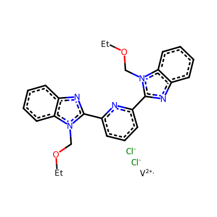 CCOCn1c(-c2cccc(-c3nc4ccccc4n3COCC)n2)nc2ccccc21.[Cl-].[Cl-].[V+2]